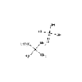 CCOC(=O)C(C)(C)N.O=P(O)(O)Cl